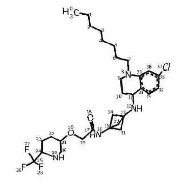 CCCCCCCCN1CCC(NC23CC(NC(=O)COC4CCC(C(F)(F)F)NC4)(C2)C3)c2ccc(Cl)cc21